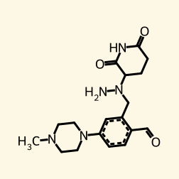 CN1CCN(c2ccc(C=O)c(CN(N)C3CCC(=O)NC3=O)c2)CC1